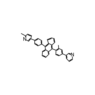 Cc1ccc(-c2ccc(-c3c4ccccc4c(-c4ccc(-c5cccnc5)cc4C)c4ccccc34)cc2)cn1